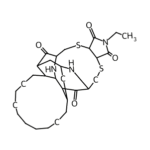 CCN1C(=O)C2SCC3NC4C5CCCCCCCCCCC6CC(CC5C3=O)NC(CSC2C1=O)C(=O)C64